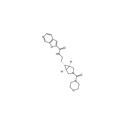 O=C(NCC[C@@H]1[C@H]2CN(C(=O)N3CCOCC3)C[C@@H]12)c1cc2ccncc2o1